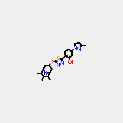 Cc1ccn(-c2ccc(-c3nnc(OC4CC5C(C)C(C)C(C)C(C4)N5C)s3)c(O)c2)n1